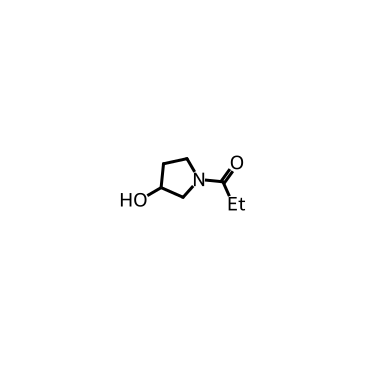 [CH2]CC(=O)N1CCC(O)C1